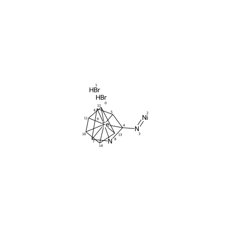 Br.Br.[Ni]=[N][C]12[CH]3[CH]4[CH]5[N]1[Fe]45321678[CH]2[CH]1[CH]6[CH]7[CH]28